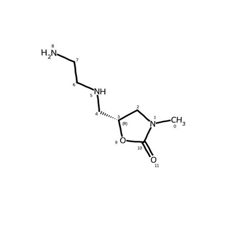 CN1C[C@@H](CNCCN)OC1=O